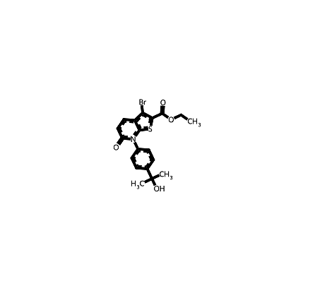 CCOC(=O)c1sc2c(ccc(=O)n2-c2ccc(C(C)(C)O)cc2)c1Br